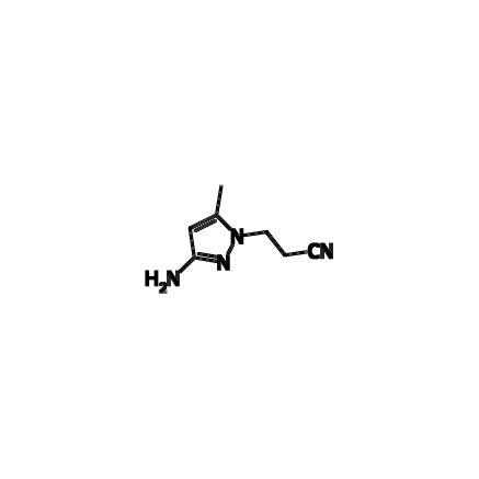 Cc1cc(N)nn1CCC#N